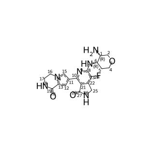 N[C@H]1COCC[C@H]1Nc1nc(-c2cc3n(c2)CCNC3=O)c2c(c1F)CNC2=O